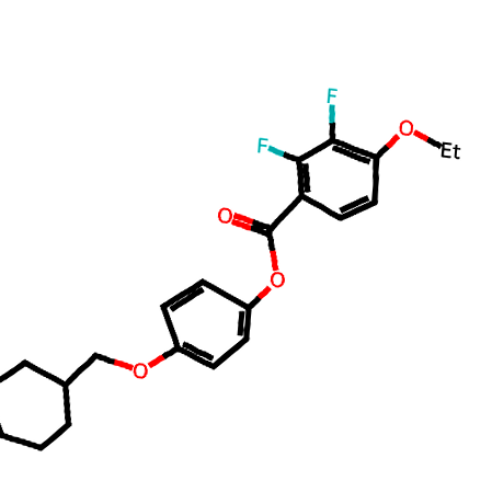 CCOc1ccc(C(=O)Oc2ccc(OCC3CC[CH]CC3)cc2)c(F)c1F